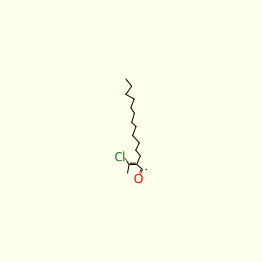 CCCCCCCCCCCCC([C]=O)=C(C)Cl